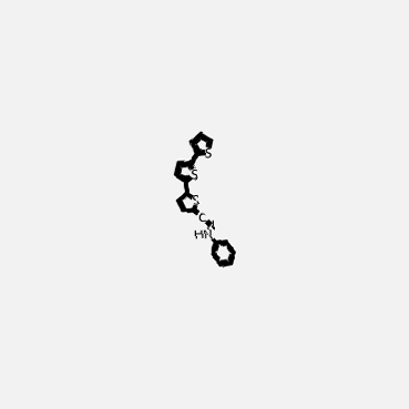 C(=NNc1ccccc1)=C1C=CC(c2ccc(-c3cccs3)s2)S1